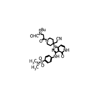 CCCCN(C=O)CC(=O)N1CCC(CC#N)(n2nc(Nc3ccc(S(=O)(=O)N(C)C)cc3)c3c(=O)[nH]ccc32)CC1